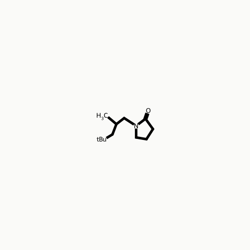 CC(CN1CCCC1=O)CC(C)(C)C